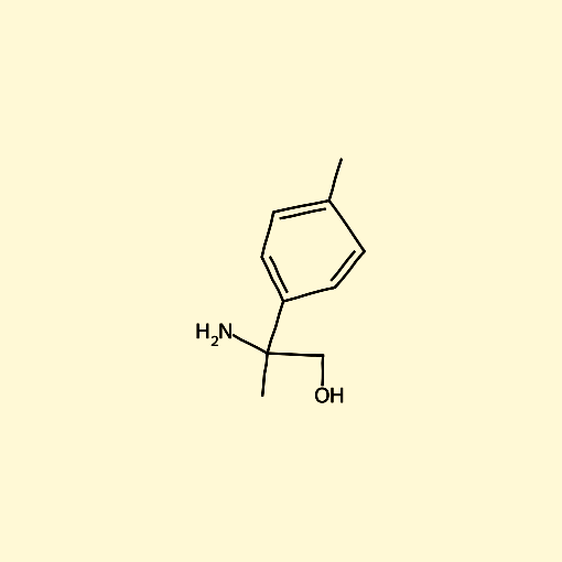 Cc1ccc(C(C)(N)CO)cc1